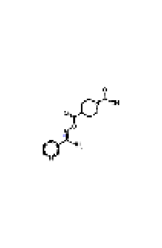 N/C(=N\OC(=O)C1CCN(C(=O)O)CC1)c1cccnc1